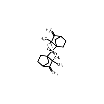 C=C1C2CCC(S(=O)(=O)C34CCC(C3)C(=C)C4(C)C)(C2)C1(C)C